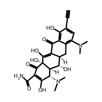 C#Cc1cc(N(C)C)c2c(c1O)C(=O)C1=C(O)[C@]3(O)C(=O)C(C(N)=O)=C(O)[C@@H](N(C)C)[C@@H]3[C@@H](O)[C@@H]1C2